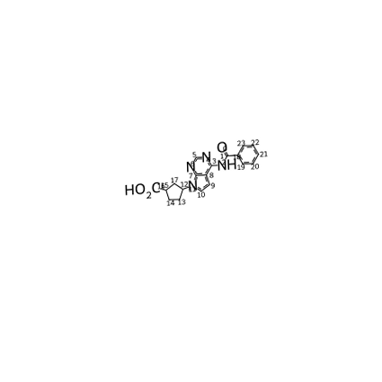 O=C(Nc1ncnc2c1ccn2C1CCC(C(=O)O)C1)c1ccccc1